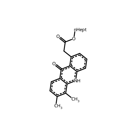 CCCCCCCOC(=O)Cc1cccc2[nH]c3c(C)c(C)ccc3c(=O)c12